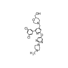 CN1CCN(c2ncc(Oc3cc(CN4CCOC(CO)CC4)cc(-c4cc(Cl)cc(Cl)c4)n3)cn2)CC1